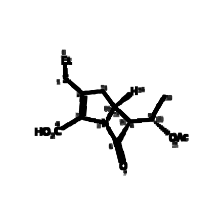 CCSC1=C(C(=O)O)N2C(=O)[C@H]([C@H](C)OC(C)=O)[C@H]2C1